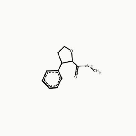 CNC(=O)C1OCCC1c1ccccc1